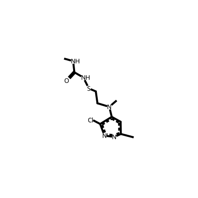 CNC(=O)NSCCN(C)c1cc(C)nnc1Cl